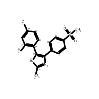 CS(=O)(=O)c1ccc(-c2nc(C(F)(F)F)[nH]c2-c2ccc(Cl)cc2Cl)cc1